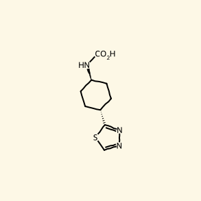 O=C(O)N[C@H]1CC[C@H](c2nncs2)CC1